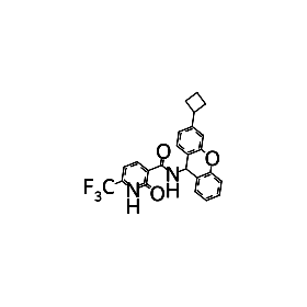 O=C(NC1c2ccccc2Oc2cc(C3CCC3)ccc21)c1ccc(C(F)(F)F)[nH]c1=O